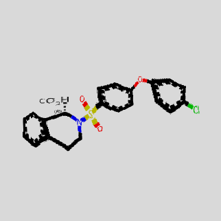 O=C(O)[C@H]1c2ccccc2CCN1S(=O)(=O)c1ccc(Oc2ccc(Cl)cc2)cc1